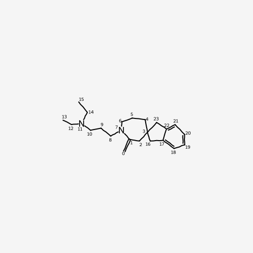 C=C1CC2(CCCN1CCCN(CC)CC)Cc1ccccc1C2